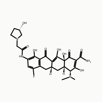 CN(C)[C@@H]1C(O)=C(C(N)=O)C(=O)[C@@]2(O)C(O)=C3C(=O)c4c(O)c(NC(=O)CN5CC[C@H](O)C5)cc(F)c4C[C@H]3C[C@@H]12